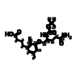 Cc1cc(CCCC(=O)O)c(F)c(OCC(CCC(N)=O)NC(=O)OC(C)(C)C)c1